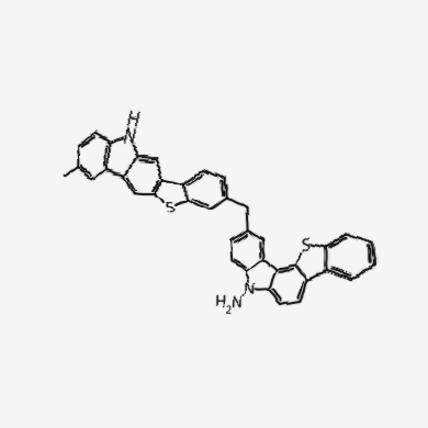 Cc1ccc2[nH]c3cc4c(cc3c2c1)sc1cc(Cc2ccc3c(c2)c2c5sc6ccccc6c5ccc2n3N)ccc14